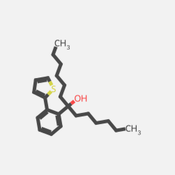 CCCCCCC(O)(CCCCCC)c1ccccc1-c1cccs1